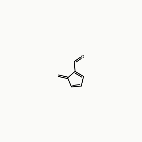 C=C1C=CC=C1C=O